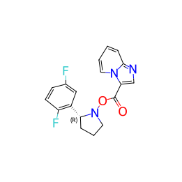 O=C(ON1CCC[C@@H]1c1cc(F)ccc1F)c1cnc2ccccn12